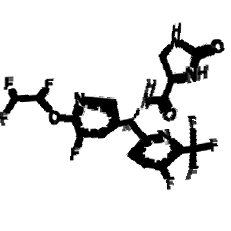 O=C1NCC(C(=O)N[C@@H](c2cnc(OC(F)C(F)F)c(F)c2)c2ccc(F)c(C(F)(F)F)n2)N1